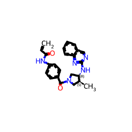 C=CC(=O)Nc1ccc(C(=O)N2C[C@H](Nc3ncc4ccccc4n3)[C@@H](C)C2)cc1